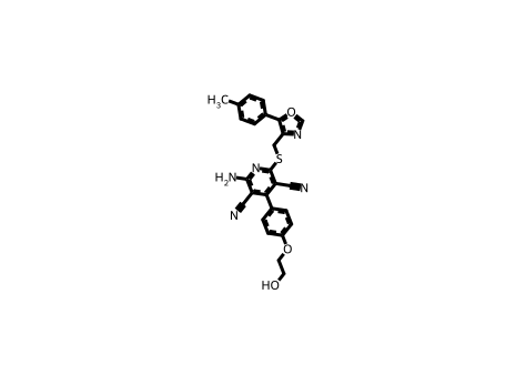 Cc1ccc(-c2ocnc2CSc2nc(N)c(C#N)c(-c3ccc(OCCO)cc3)c2C#N)cc1